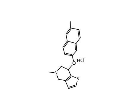 Cc1ccc2cc(OC3CN(C)Cc4ccsc43)ccc2c1.Cl